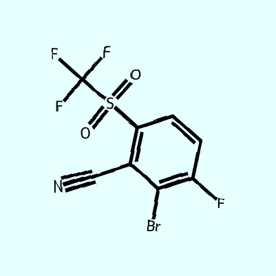 N#Cc1c(S(=O)(=O)C(F)(F)F)ccc(F)c1Br